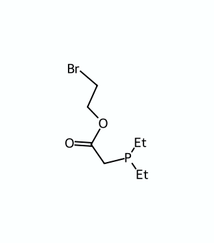 CCP(CC)CC(=O)OCCBr